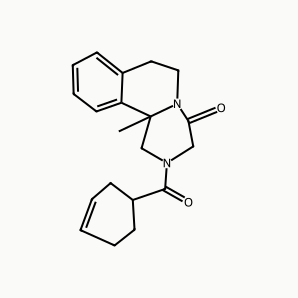 CC12CN(C(=O)C3CC=CCC3)CC(=O)N1CCc1ccccc12